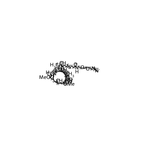 COc1cc2cc(c1Cl)N(C)C(=O)C[C@@H](OC(=O)[C@@H](C)N(C)C(=O)CCSSCCC(=O)NCCOCCOCCN=[N+]=[N-])[C@]1(C)O[C@@H]1C(C)[C@H]1C[C@](O)(NC(=O)O1)[C@@H](OC)/C=C/C=C(\C)C2